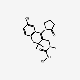 CCNC(=O)N(C)CC1=C(N2CCCC2=O)c2cc(C#N)ccc2OC1(C)C